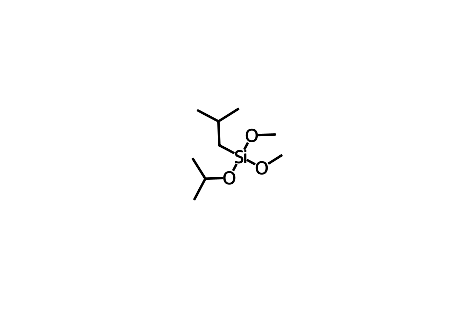 CO[Si](CC(C)C)(OC)OC(C)C